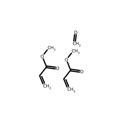 C=CC(=O)OC.C=CC(=O)OC.C=O